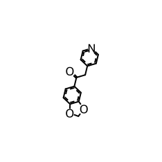 O=C(Cc1ccncc1)c1ccc2c(c1)OCO2